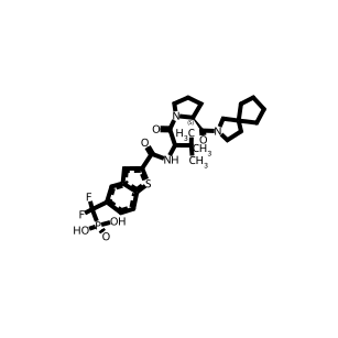 CC(C)(C)C(NC(=O)c1cc2cc(C(F)(F)P(=O)(O)O)ccc2s1)C(=O)N1CCC[C@H]1C(=O)N1CCC2(CCCC2)C1